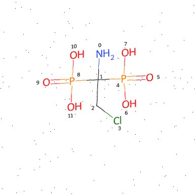 NC(CCl)(P(=O)(O)O)P(=O)(O)O